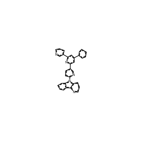 c1ccc(-c2cc(-c3cccnc3)nc(-c3ccc(-n4c5ccccc5c5ncccc54)nc3)c2)cc1